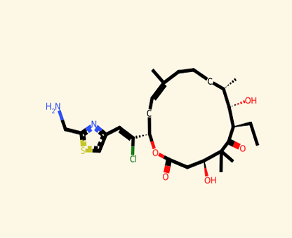 CC[C@H]1C(=O)C(C)(C)[C@@H](O)CC(=O)O[C@H](C(Cl)=Cc2csc(CN)n2)C/C=C(/C)CCC[C@H](C)[C@@H]1O